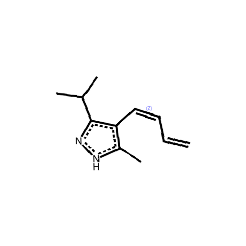 C=C/C=C\c1c(C(C)C)n[nH]c1C